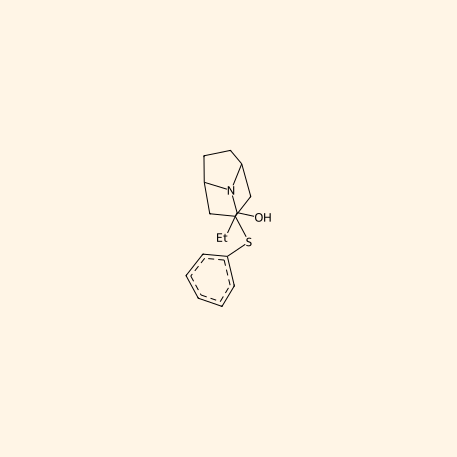 CCC(O)N1C2CCC1CC(Sc1ccccc1)C2